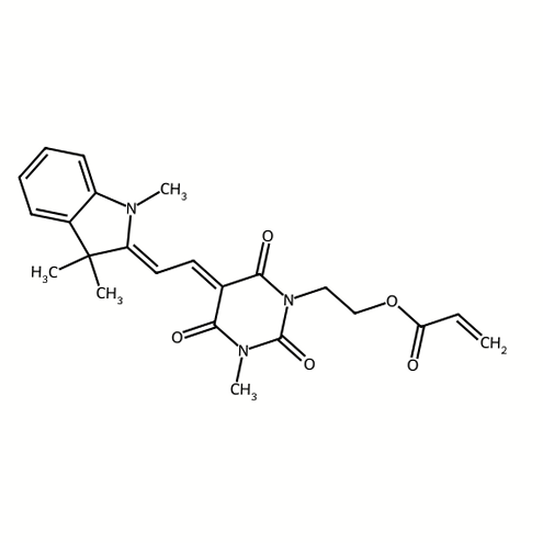 C=CC(=O)OCCN1C(=O)/C(=C/C=C2\N(C)c3ccccc3C2(C)C)C(=O)N(C)C1=O